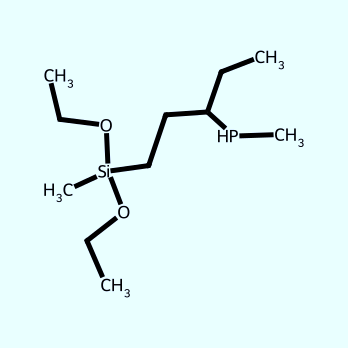 CCO[Si](C)(CCC(CC)PC)OCC